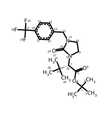 CC(C)(C)OC(=O)[C@@H](N1CCN(Cc2ccc(C(F)(F)F)cc2)C1=O)C(C)(C)C